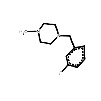 CN1CCN(Cc2[c]c(F)ccc2)CC1